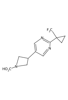 O=C(O)N1CC(c2cnc(C3(C(F)(F)F)CC3)nc2)C1